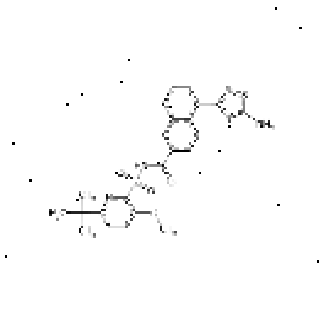 COc1ccc(C(C)(C)C)nc1S(=O)(=O)NC(=O)c1ccc2c(-c3nsc(N)n3)cccc2c1